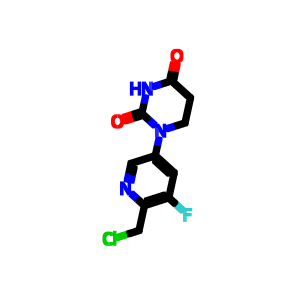 O=C1CCN(c2cnc(CCl)c(F)c2)C(=O)N1